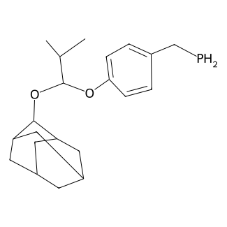 CC(C)C(Oc1ccc(CP)cc1)OC1C2CC3CC(C2)CC1C3